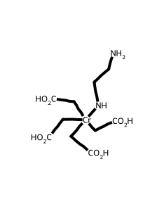 NCC[NH][Cr]([CH2]C(=O)O)([CH2]C(=O)O)([CH2]C(=O)O)[CH2]C(=O)O